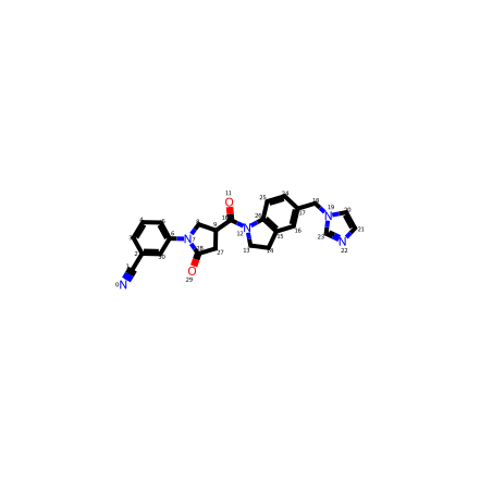 N#Cc1cccc(N2CC(C(=O)N3CCc4cc(Cn5ccnc5)ccc43)CC2=O)c1